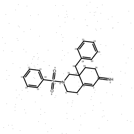 N=C1C=C2CCN(S(=O)(=O)c3ccccc3)CC2(Cc2ccccc2)CC1